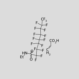 C=CC(=O)O.CCNS(=O)(=O)C(F)(F)C(F)(F)C(F)(F)C(F)(F)C(F)(F)C(F)(F)C(F)(F)C(F)(F)F